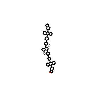 C[Si]1(C)c2cc(C3CCC(c4c5ccccc5c(-c5ccc6ccccc6c5)c5ccccc45)CC3)ccc2-c2c1cc1c3c(cccc23)[Si](C)(C)c2cc(-c3ccc(-c4c5ccccc5c(-c5ccc6ccccc6c5)c5ccccc45)cc3)ccc2-1